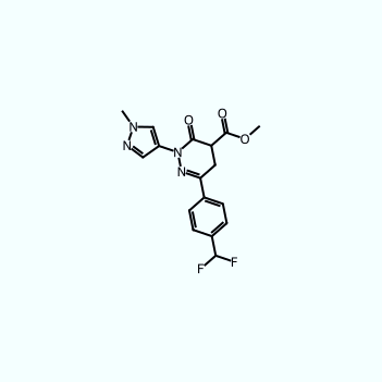 COC(=O)C1CC(c2ccc(C(F)F)cc2)=NN(c2cnn(C)c2)C1=O